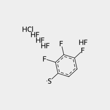 Cl.F.F.F.F.Fc1ccc([S])c(F)c1F